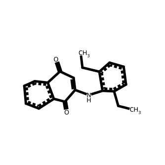 CCc1cccc(CC)c1NC1=CC(=O)c2ccccc2C1=O